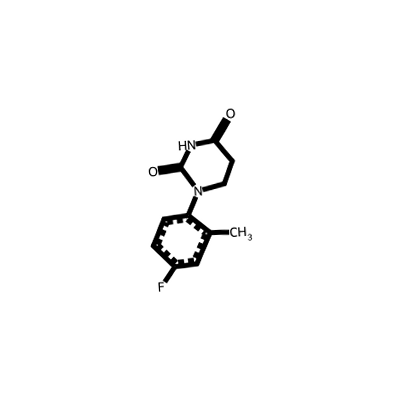 Cc1cc(F)ccc1N1CCC(=O)NC1=O